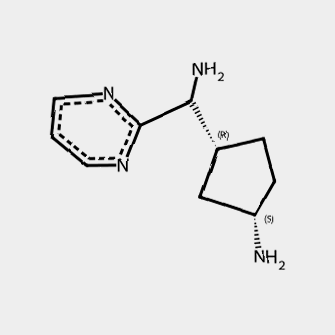 NC(c1ncccn1)[C@@H]1CC[C@H](N)C1